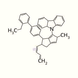 C=C/C=C\C1CC2=CC(C)C(N3c4ccccc4C4C=CC=CC43)=C2C1c1ccc(-c2ccccc2CC)cc1